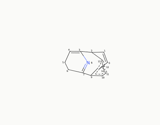 C1=CC2C3=CCCC(=N3)c3cccc2c31